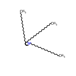 CCCCCCCCCCCCCCCCCCC[n+]1cccc(CCCCCCCCCCCCCCCCCC)c1CCCCCCCCCCCCCCCCCC